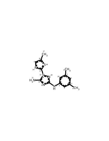 Cc1cc(C)cc(Nc2nc(N)n(-c3ncc(C)s3)n2)c1